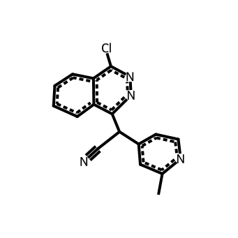 Cc1cc(C(C#N)c2nnc(Cl)c3ccccc23)ccn1